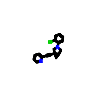 Clc1ccccc1N1CC2CC2(C#Cc2ccccn2)C1